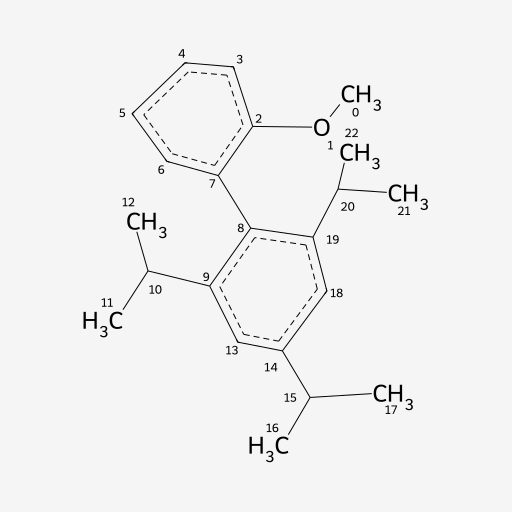 COc1ccccc1-c1c(C(C)C)cc(C(C)C)cc1C(C)C